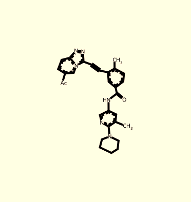 CC(=O)c1ccc2nnc(C#Cc3cc(C(=O)Nc4cnc(N5CCCCC5)c(C)c4)ccc3C)n2c1